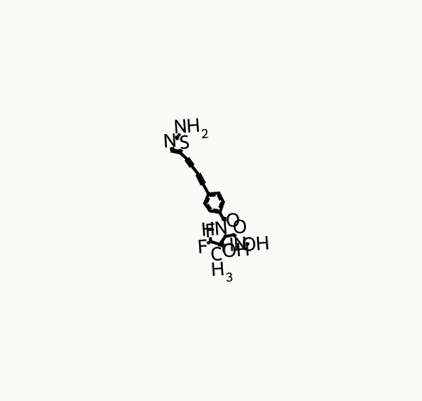 CC(O)(C(F)F)C(NC(=O)c1ccc(C#CC#Cc2cnc(N)s2)cc1)C(=O)NO